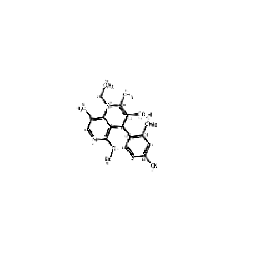 CCOc1ncc(C)c2c1C(c1ccc(C#N)cc1OC)C(C(=O)O)=C(C)N2COC(C)=O